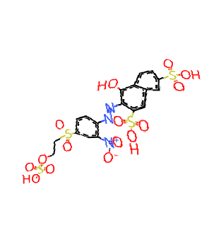 O=[N+]([O-])c1cc(S(=O)(=O)CCOS(=O)(=O)O)ccc1/N=N/c1c(S(=O)(=O)O)cc2cc(S(=O)(=O)O)ccc2c1O